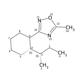 CC[C@H](C)[C@@H]1CCCCC1c1noc(C)n1